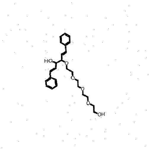 OCCOCCOCCOCCOC(C=Cc1ccccc1)C(O)C=Cc1ccccc1